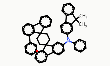 CC1(C)c2ccccc2-c2ccc(N(c3ccccc3)c3ccc4c(c3)C3(CCC5(CC3)c3ccccc3-c3cccc(-c6ccccc6)c35)c3ccccc3-4)cc21